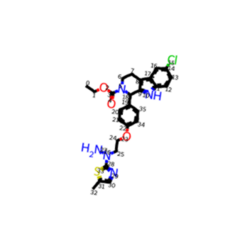 CCOC(=O)N1CCc2c([nH]c3ccc(Cl)cc23)C1c1ccc(OCCN(N)c2ncc(C)s2)cc1